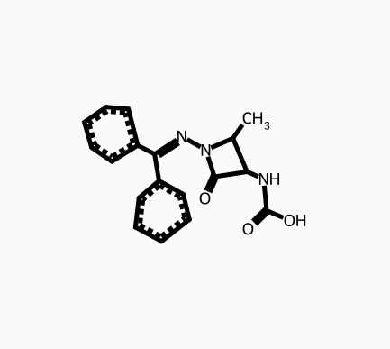 CC1C(NC(=O)O)C(=O)N1N=C(c1ccccc1)c1ccccc1